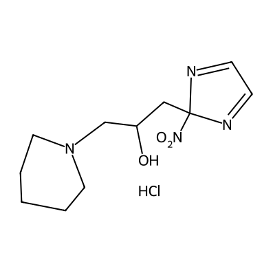 Cl.O=[N+]([O-])C1(CC(O)CN2CCCCC2)N=CC=N1